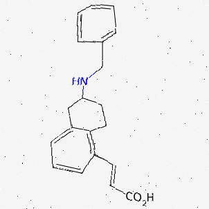 O=C(O)/C=C/c1cccc2c1CCC(NCc1ccccc1)C2